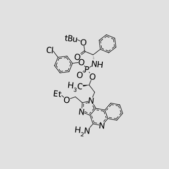 CCOCc1nc2c(N)nc3ccccc3c2n1C[C@@H](C)OP(=O)(N[C@H](C(=O)OC(C)(C)C)c1ccccc1)Oc1cccc(Cl)c1